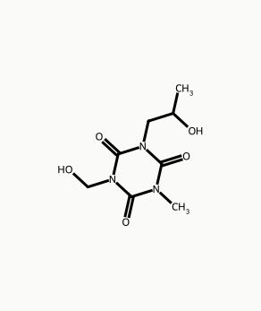 CC(O)Cn1c(=O)n(C)c(=O)n(CO)c1=O